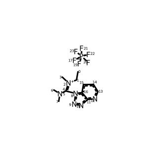 CC[N+](C)=C(N(C)C)n1nnc2ncccc21.F[P-](F)(F)(F)(F)F